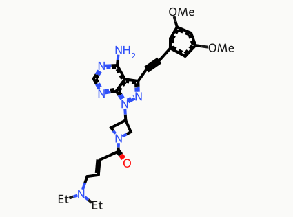 CCN(CC)CC=CC(=O)N1CC(n2nc(C#Cc3cc(OC)cc(OC)c3)c3c(N)ncnc32)C1